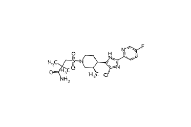 C[C@H]1CN(S(=O)(=O)CC(C)(C)C(N)=O)CC[C@H]1c1[nH]c(-c2ccc(F)cn2)nc1Cl